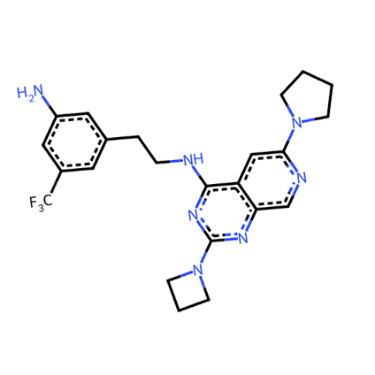 Nc1cc(CCNc2nc(N3CCC3)nc3cnc(N4CCCC4)cc23)cc(C(F)(F)F)c1